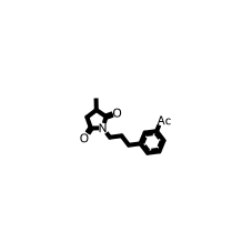 CC(=O)c1cccc(CCCN2C(=O)CC(C)C2=O)c1